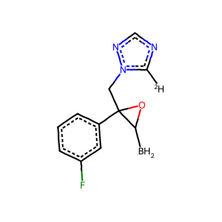 [2H]c1ncnn1CC1(c2cccc(F)c2)OC1B